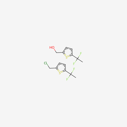 CC(F)(F)c1ccc(CCl)s1.CC(F)(F)c1ccc(CO)s1